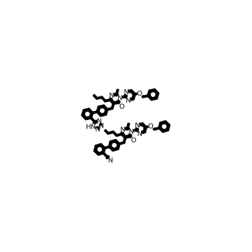 CCCCc1nc(C)n(-c2ncc(OCc3ccccc3)cn2)c(=O)c1Cc1ccc(-c2ccccc2-c2nnn[nH]2)cc1.CCCCc1nc(C)n(-c2ncc(OCc3ccccc3)cn2)c(=O)c1Cc1ccc(-c2ccccc2C#N)cc1